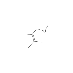 COCC(C)=C(C)C